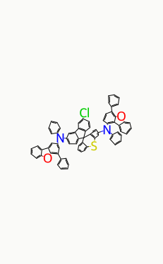 Clc1ccc2c(c1)-c1cc(N(c3ccccc3)c3cc(-c4ccccc4)c4oc5ccccc5c4c3)ccc1C21c2ccccc2Sc2cc(N(c3ccccc3)c3ccc(-c4ccccc4)c4oc5ccccc5c34)ccc21